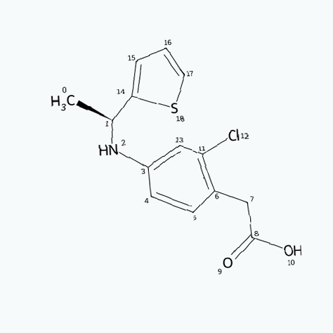 C[C@H](Nc1ccc(CC(=O)O)c(Cl)c1)c1cccs1